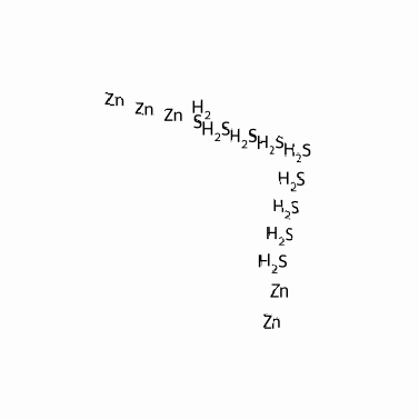 S.S.S.S.S.S.S.S.S.[Zn].[Zn].[Zn].[Zn].[Zn]